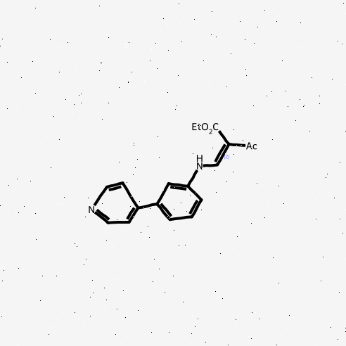 CCOC(=O)/C(=C\Nc1cccc(-c2ccncc2)c1)C(C)=O